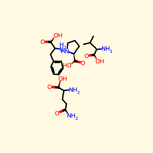 CC(C)C(N)C(=O)O.NC(=O)CCC(N)C(=O)O.NC(Cc1ccccc1)C(=O)O.O=C(O)[C@@H]1CCCN1